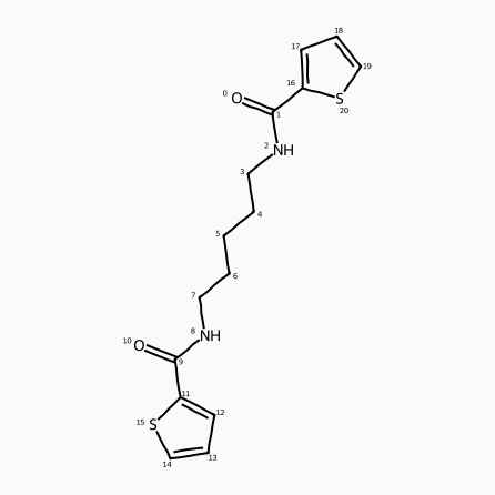 O=C(NCCCCCNC(=O)c1cccs1)c1cccs1